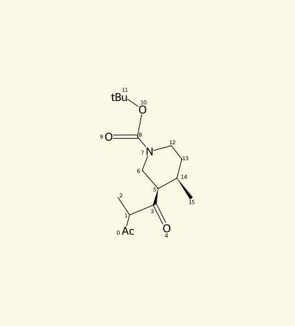 CC(=O)C(C)C(=O)[C@H]1CN(C(=O)OC(C)(C)C)CC[C@H]1C